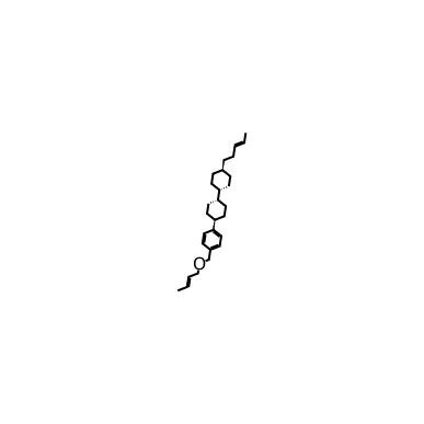 CC=CCC[C@H]1CC[C@H]([C@H]2CC[C@H](c3ccc(COCC=CC)cc3)CC2)CC1